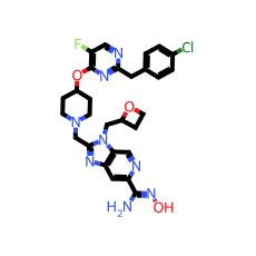 NC(=NO)c1cc2nc(CN3CCC(Oc4nc(Cc5ccc(Cl)cc5)ncc4F)CC3)n(CC3CCO3)c2cn1